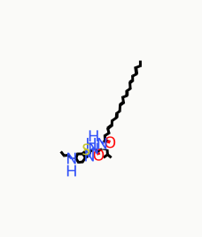 CCC=CCC=CCC=CCC=CCC=CCC=CCCC(=O)N[C@@H](CC(C)C)C(=O)Nc1nc2c(s1)C[C@H](NCCC)CC2